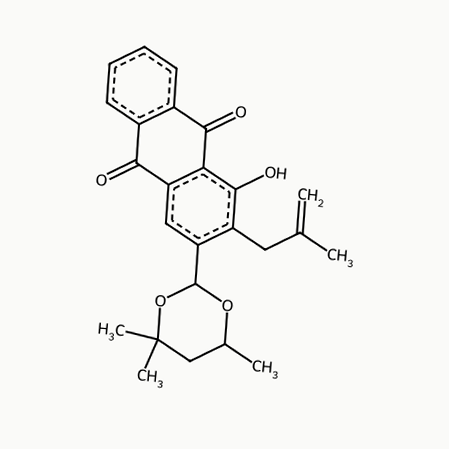 C=C(C)Cc1c(C2OC(C)CC(C)(C)O2)cc2c(c1O)C(=O)c1ccccc1C2=O